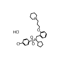 Cl.O=S(=O)(c1ccc(Cl)cc1)N(Cc1ccccc1OCCCN1CCCCC1)C1CCCC1